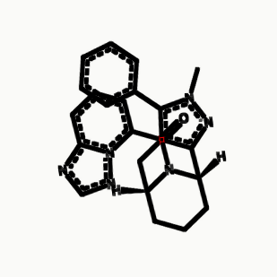 Cn1nc2c(c1-c1ccccc1)C[C@H]1CCC[C@@H]2N1C(=O)c1cccc2ncnn12